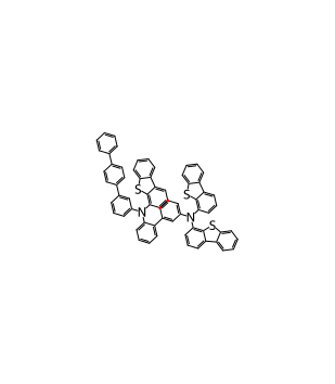 c1ccc(-c2ccc(-c3cccc(N(c4ccccc4-c4cccc(N(c5cccc6c5sc5ccccc56)c5cccc6c5sc5ccccc56)c4)c4cccc5c4sc4ccccc45)c3)cc2)cc1